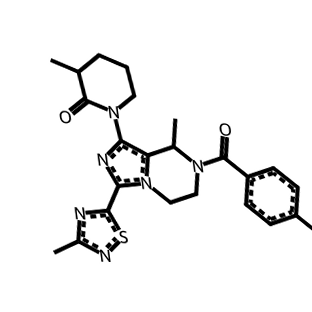 Cc1nsc(-c2nc(N3CCCC(C)C3=O)c3n2CCN(C(=O)c2ccc(F)cc2)C3C)n1